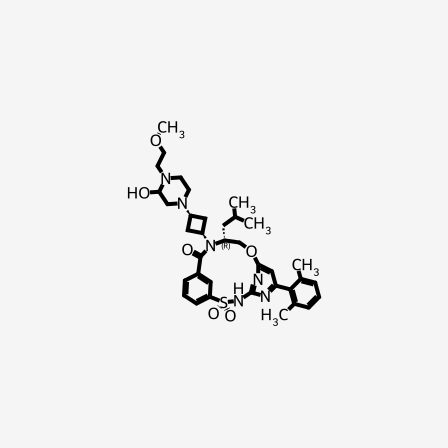 COCCN1CCN([C@H]2C[C@@H](N3C(=O)c4cccc(c4)S(=O)(=O)Nc4nc(cc(-c5c(C)cccc5C)n4)OC[C@H]3CC(C)C)C2)CC1O